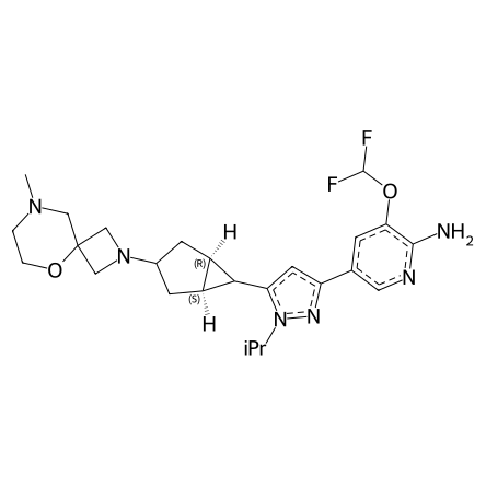 CC(C)n1nc(-c2cnc(N)c(OC(F)F)c2)cc1C1[C@H]2CC(N3CC4(CN(C)CCO4)C3)C[C@@H]12